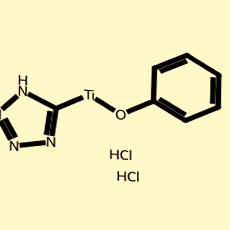 Cl.Cl.c1ccc([O][Ti][c]2nnn[nH]2)cc1